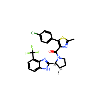 Cc1nc(C(=O)N2CC[C@H](C)[C@H]2c2nc3c(C(F)(F)F)cccc3[nH]2)c(-c2ccc(Cl)cc2)s1